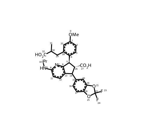 COc1ccc([C@@H]2c3nc(NC(C)C)ccc3C(c3ccc4c(c3)OC(F)(F)O4)[C@H]2C(=O)O)c(CC(C)C(=O)O)c1